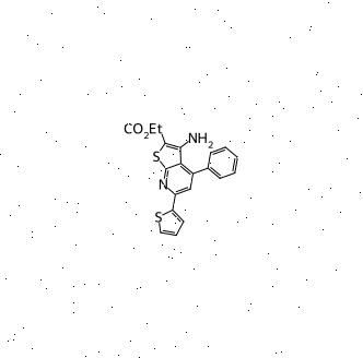 CCOC(=O)c1sc2nc(-c3cccs3)cc(-c3ccccc3)c2c1N